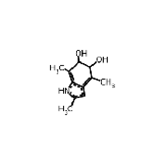 CC1=c2cc(C)[nH]c2=C(C)C(O)C1O